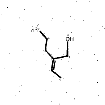 C/C=C(\CO)CCCCC